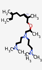 C=CC(=C)CC/C=C(/C)COC(C)CN(CCCN(C)C)CCCN(C)C